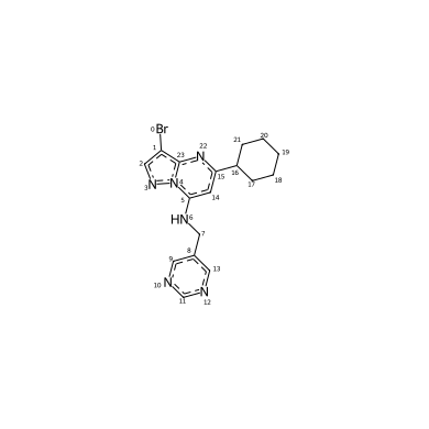 Brc1cnn2c(NCc3cncnc3)cc(C3CCCCC3)nc12